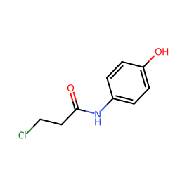 O=C(CCCl)Nc1ccc(O)cc1